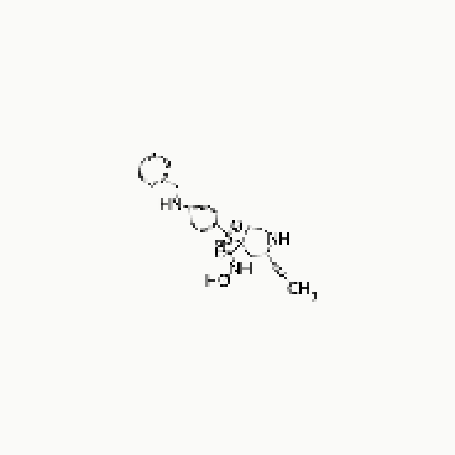 CC#CC1CC(C(=O)NO)(S(=O)(=O)c2ccc(NCc3ccccc3)cc2)CCN1